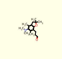 Cc1c(CCC=O)c2c(c(C)c1N(C)C)CC(C)(C)O2